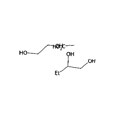 CC(=O)O.CCC(O)CO.OCCO